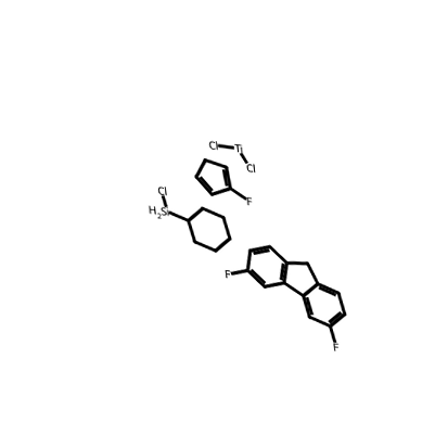 Cl[SiH2]C1CCCCC1.FC1=CCC=C1.Fc1ccc2c(c1)-c1cc(F)ccc1C2.[Cl][Ti][Cl]